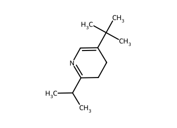 CC(C)C1=NC=C(C(C)(C)C)CC1